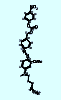 COc1cc(N(C)CCCN=[N+]=[N-])ccc1N=Nc1ccc(COC(=O)Oc2ccc([N+](=O)[O-])cc2)cc1